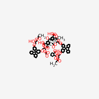 C=CC(=O)OCC(O)COc1ccc(C2(c3ccc(OCC(COC(=O)C=O)OC(=O)c4ccc(C(=O)c5ccc(C(=O)C(C)(C)OC(COC(=O)C=C)COc6ccc(C7(c8ccc(OCC(COC(=O)C=C)OC(=O)C9CC=CCC9C(=O)O)cc8)c8ccccc8-c8ccccc87)cc6)c(C(=O)O)c5)cc4C(=O)O)cc3)c3ccccc3-c3ccccc32)cc1